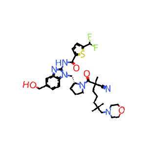 CC(C)(CCCC(C)(C#N)C(=O)N1CCC[C@@H]1Cn1c(NC(=O)c2ccc(C(F)F)s2)nc2cc(CO)ccc21)CN1CCOCC1